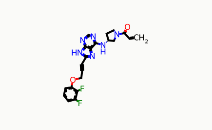 C=CC(=O)N1CC[C@@H](Nc2ncnc3[nH]c(C#CCOc4cccc(F)c4F)nc23)C1